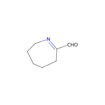 O=CC1=NCCCCC1